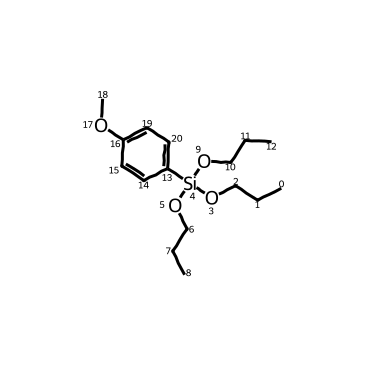 CCCO[Si](OCCC)(OCCC)c1ccc(OC)cc1